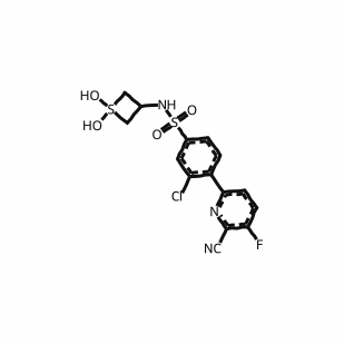 N#Cc1nc(-c2ccc(S(=O)(=O)NC3CS(O)(O)C3)cc2Cl)ccc1F